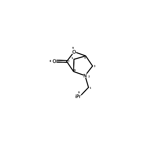 CC(C)CN1CC2CC1C(=O)O2